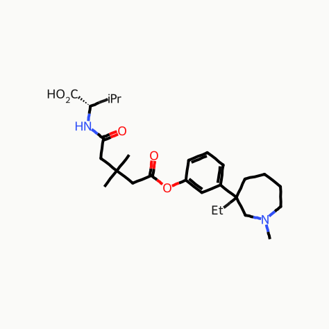 CCC1(c2cccc(OC(=O)CC(C)(C)CC(=O)N[C@H](C(=O)O)C(C)C)c2)CCCCN(C)C1